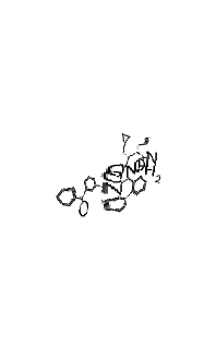 C=CC[C@H](C(N)=O)[C@@H](CC1CC1)C(=O)NC1C(=O)N(c2cccc(C(=O)c3ccccc3)c2)c2ccccc2-c2ccccc21